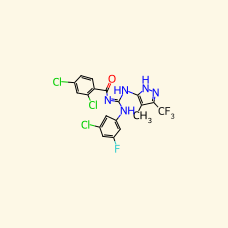 Cc1c(C(F)(F)F)n[nH]c1N/C(=N\C(=O)c1ccc(Cl)cc1Cl)Nc1cc(F)cc(Cl)c1